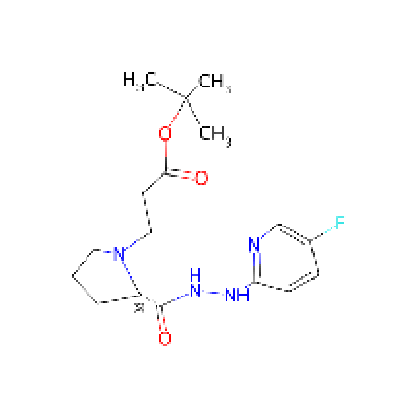 CC(C)(C)OC(=O)CCN1CCC[C@H]1C(=O)NNc1ccc(F)cn1